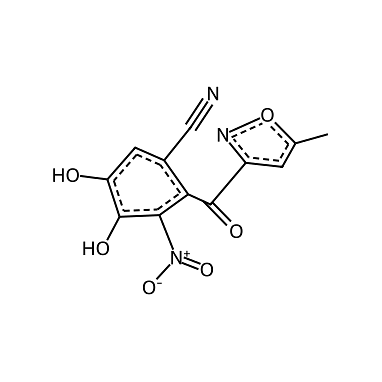 Cc1cc(C(=O)c2c(C#N)cc(O)c(O)c2[N+](=O)[O-])no1